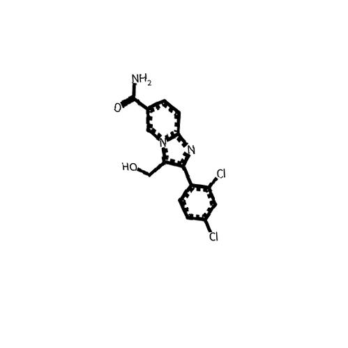 NC(=O)c1ccc2nc(-c3ccc(Cl)cc3Cl)c(CO)n2c1